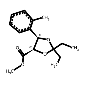 CCC1(CC)O[C@H](c2ccccc2C)[C@H](C(=O)OC)O1